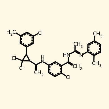 C=C(N/C(C)=N/c1cc(C)ccc1C)c1cc(NC(=C)C2C(c3cc(C)cc(Cl)c3)C2(Cl)Cl)ccc1Cl